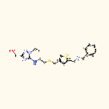 Cn1nc(CO)nc1NCCSCc1csc(CNCc2ccccc2)c1